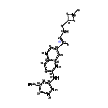 C/C(=C\NCC1CN(C)C1)c1cnc2ccc(Nc3cc(C(C)C)cnn3)nc2c1